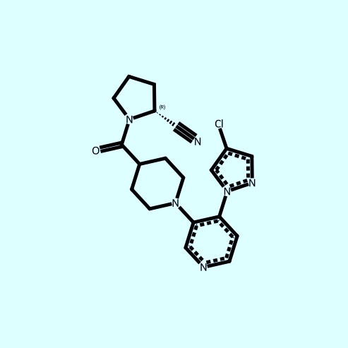 N#C[C@H]1CCCN1C(=O)C1CCN(c2cnccc2-n2cc(Cl)cn2)CC1